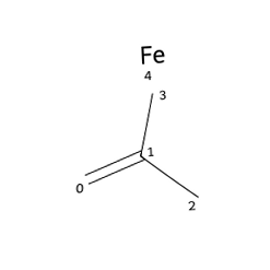 C=C(C)C.[Fe]